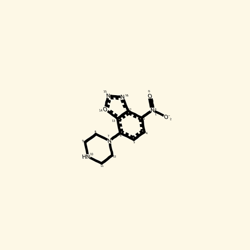 O=[N+]([O-])c1ccc(N2CCNCC2)c2onnc12